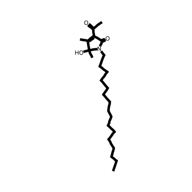 CCCCCCCCCCCCCCCCN1C(=O)C(C(C)=O)=C(C)C1(C)O